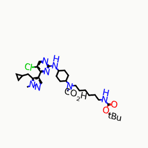 Cn1ncc(-c2nc(NC3CCC(N(CCCCCCNC(=O)OC(C)(C)C)C(=O)O)CC3)ncc2Cl)c1CC1CC1